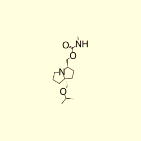 CNC(=O)OC[C@H]1CC[C@@]2(COC(C)C)CCCN12